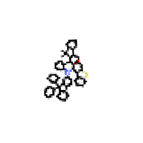 CC1(C)c2ccccc2-c2cccc(-c3ccccc3N(c3ccc4c(c3)C(c3ccccc3)(c3ccccc3)c3ccccc3-4)c3cccc4sc5ccccc5c34)c21